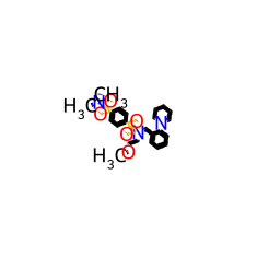 COCCN(Cc1ccccc1N1CCCCC1)S(=O)(=O)c1ccc(S(=O)(=O)N(C)C)cc1